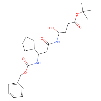 CC(C)(C)OC(=O)CCC(O)NC(=O)CC(NC(=O)OCc1ccccc1)C1CCCC1